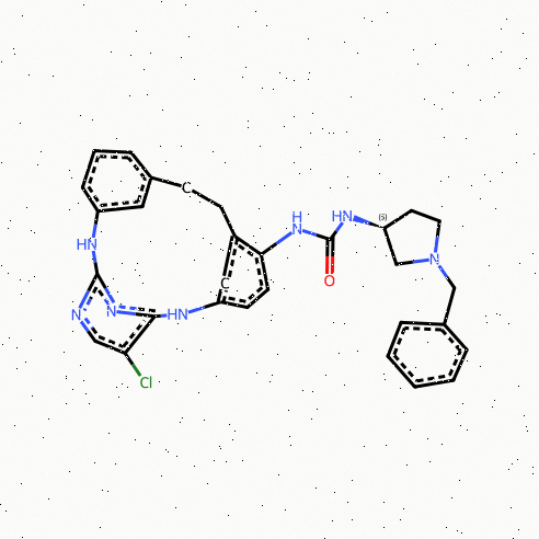 O=C(Nc1ccc2cc1CCc1cccc(c1)Nc1ncc(Cl)c(n1)N2)N[C@H]1CCN(Cc2ccccc2)C1